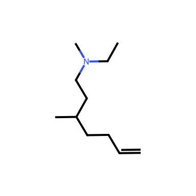 C=CCCC(C)CCN(C)CC